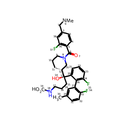 CNCc1ccc(C(=O)N2CCC[C@@H]([C@@](O)(CCCNC(=O)O)c3cccc(F)c3-c3cc(C)ccc3F)C2)c(F)c1